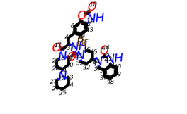 O=C(NC(Cc1cc2oc(=O)[nH]c2cc1Br)C(=O)N1CCC(N2CCCCC2)CC1)N1CCC(N2Cc3ccccc3NC2=O)CC1